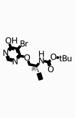 C#C[C@H](COc1ncnc(O)c1Br)NC(=O)OC(C)(C)C